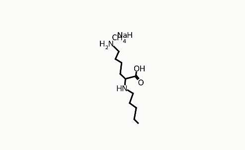 C.CCCCCNC(CCCCN)C(=O)O.[NaH]